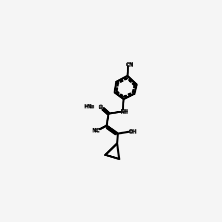 N#CC(C(=O)Nc1ccc(C#N)cc1)=C(O)C1CC1.[NaH]